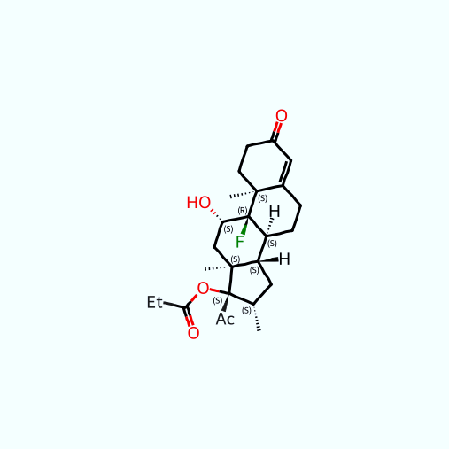 CCC(=O)O[C@@]1(C(C)=O)[C@@H](C)C[C@H]2[C@@H]3CCC4=CC(=O)CC[C@]4(C)[C@@]3(F)[C@@H](O)C[C@@]21C